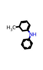 CC1C=CC=C(Nc2ccccc2)C1